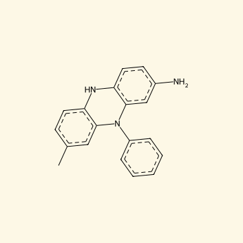 Cc1ccc2c(c1)N(c1ccccc1)c1cc(N)ccc1N2